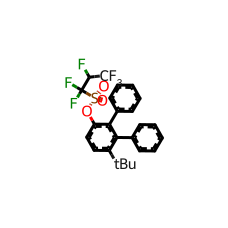 CC(C)(C)c1ccc(OS(=O)(=O)C(F)(F)C(F)C(F)(F)F)c(-c2ccccc2)c1-c1ccccc1